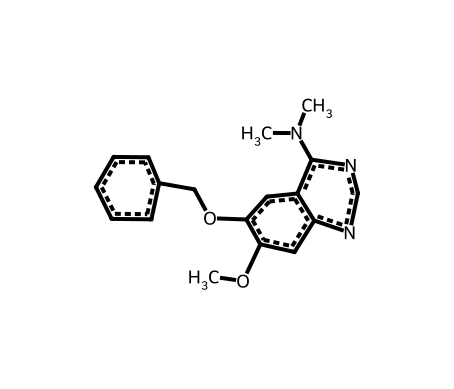 COc1cc2ncnc(N(C)C)c2cc1OCc1ccccc1